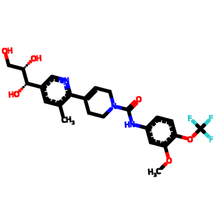 COc1cc(NC(=O)N2CC=C(c3ncc([C@H](O)[C@@H](O)CO)cc3C)CC2)ccc1OC(F)(F)F